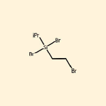 CC(C)[Si](Br)(Br)CCBr